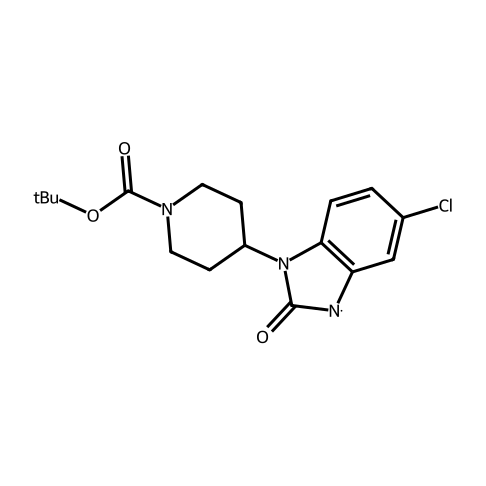 CC(C)(C)OC(=O)N1CCC(N2C(=O)[N]c3cc(Cl)ccc32)CC1